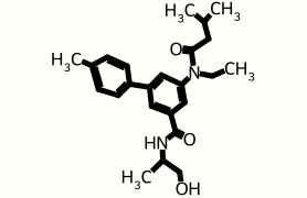 CCN(C(=O)CC(C)C)c1cc(C(=O)NC(C)CO)cc(-c2ccc(C)cc2)c1